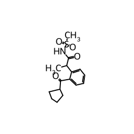 CC(C(=O)NS(C)(=O)=O)c1ccccc1C(=O)C1CCCC1